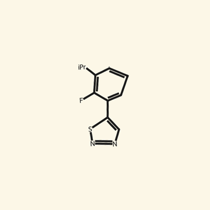 CC(C)c1[c]ccc(-c2cnns2)c1F